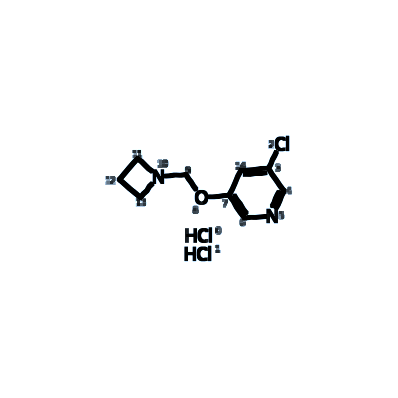 Cl.Cl.Clc1cncc(OCN2CCC2)c1